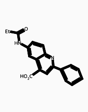 CCC(=O)Nc1ccc2nc(-c3ccccc3)cc(C(=O)O)c2c1